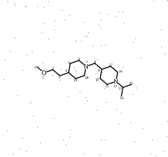 COCCC1CCN(CC2CCN(C(C)C)CC2)CC1